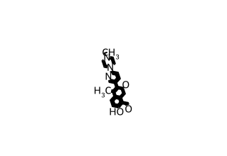 CC1=C(c2ccc(N3CCN(C)CC3)nc2)C(=O)Cc2c1ccc(O)c2C=O